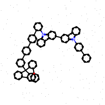 c1ccc(-c2ccc(-n3c4ccccc4c4cc(-c5ccc6c(c5)c5ccccc5n6-c5ccccc5-c5ccc(-c6ccc(-c7cccc(C8(c9ccccc9-c9ccccc9)c9ccccc9-c9ccccc98)c7)cc6)cc5)ccc43)cc2)cc1